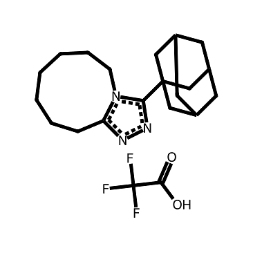 C1CCCc2nnc(C34CC5CC(CC(C5)C3)C4)n2CCC1.O=C(O)C(F)(F)F